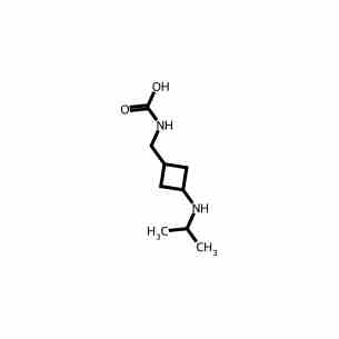 CC(C)NC1CC(CNC(=O)O)C1